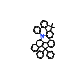 CC1(C)c2ccccc2-c2c(N(C3=CC4C=CC=CC4C4=C3c3ccccc3C4(c3ccccc3)c3ccccc3)c3ccccc3)cccc21